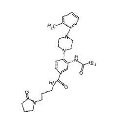 Cc1ccccc1N1CCN(c2ccc(C(=O)NCCCN3CCCC3=O)cc2NC(=O)C(C)(C)C)CC1